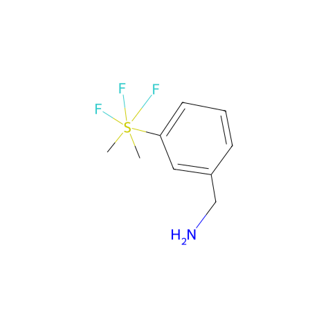 CS(C)(F)(F)(F)c1cccc(CN)c1